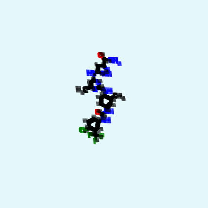 Cc1cc(Nc2cc(C(N)=O)n[nH]2)nc(Nc2ccc(NC(=O)Nc3ccc(Cl)c(C(F)(F)F)c3)cc2C)n1